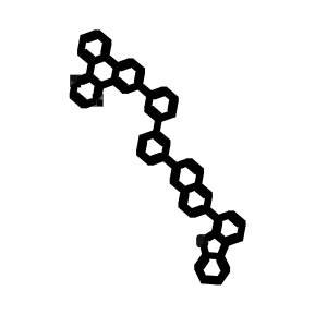 c1cc(-c2cccc(-c3ccc4c5ccccc5c5nccnc5c4c3)c2)cc(-c2ccc3cc(-c4cccc5c4oc4ccccc45)ccc3c2)c1